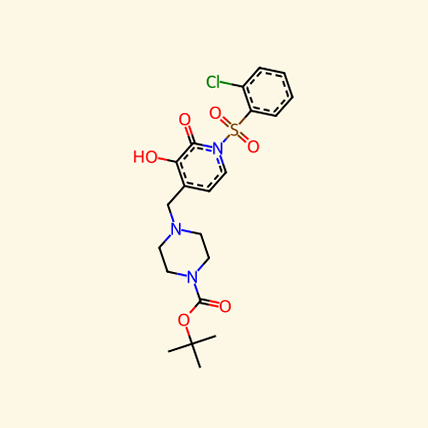 CC(C)(C)OC(=O)N1CCN(Cc2ccn(S(=O)(=O)c3ccccc3Cl)c(=O)c2O)CC1